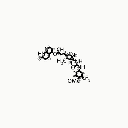 C=C1/C(=C\C=C(/C)Oc2ccnc3c2CCC(=O)N3)O[C@@H]2[C@@H](NC(=O)Nc3ccc(OC)c(C(F)(F)F)c3)[C@H]12